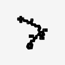 CS(=O)(=O)SCCOC(=O)CCC/C=C\C[C@@H]1[C@@H](CC[C@@H](O)CCc2ccccc2)[C@H](O)C[C@@H]1O